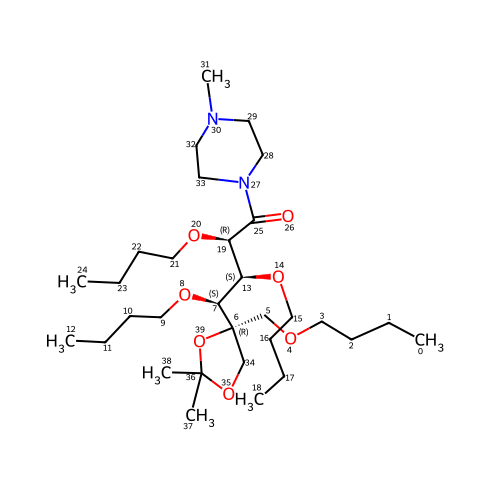 CCCCOC[C@]1([C@@H](OCCCC)[C@H](OCCCC)[C@@H](OCCCC)C(=O)N2CCN(C)CC2)COC(C)(C)O1